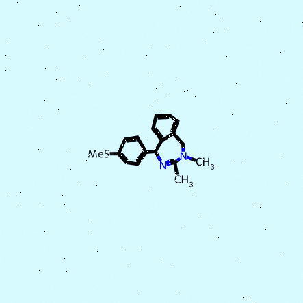 CSc1ccc(C2N=C(C)N(C)Cc3ccccc32)cc1